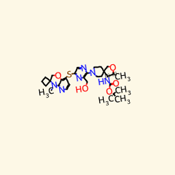 C[C@@H]1OCC2(CCN(c3ncc(Sc4ccnc5c4OCC4(CCC4)N5C)nc3CO)CC2)[C@@H]1NC(=O)OC(C)(C)C